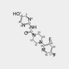 O=C(Nc1ncc(O)cn1)N1CCN(c2ncc(F)cc2F)CC1